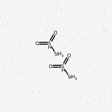 O=[SH](=O)[SiH3].O=[SH](=O)[SiH3]